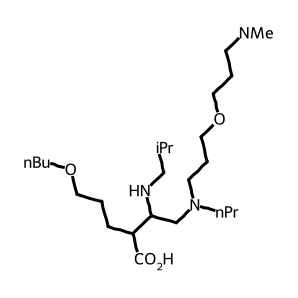 CCCCOCCCC(C(=O)O)C(CN(CCC)CCCOCCCNC)NCC(C)C